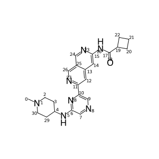 CN1CCC(Nc2cncc(-c3cc4cc(NC(=O)C5CCC5)ncc4cn3)n2)CC1